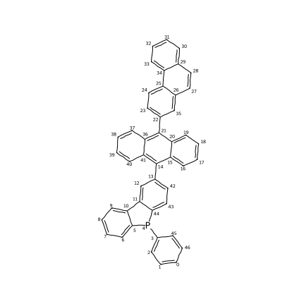 c1ccc(-p2c3ccccc3c3cc(-c4c5ccccc5c(-c5ccc6c(ccc7ccccc76)c5)c5ccccc45)ccc32)cc1